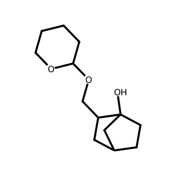 OC12CCC(CC1COC1CCCCO1)C2